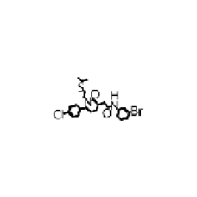 CC(C)SCCN1C(=O)C(CC(=O)Nc2cccc(Br)c2)CCC1c1ccc(Cl)cc1